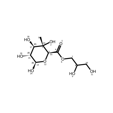 C[C@@]1(O)[C@@H](C(=O)OCC(O)CO)O[C@@H](O)[C@H](O)[C@H]1O